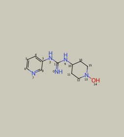 N=C(Nc1cccnc1)NC1CCN(O)CC1